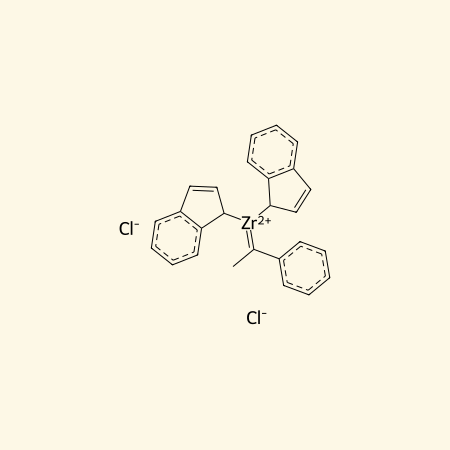 C[C](c1ccccc1)=[Zr+2]([CH]1C=Cc2ccccc21)[CH]1C=Cc2ccccc21.[Cl-].[Cl-]